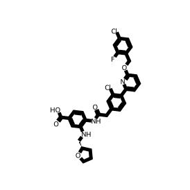 O=C(Cc1ccc(-c2cccc(OCc3ccc(Cl)cc3F)n2)c(Cl)c1)Nc1ccc(C(=O)O)cc1NC[C@@H]1CCCO1